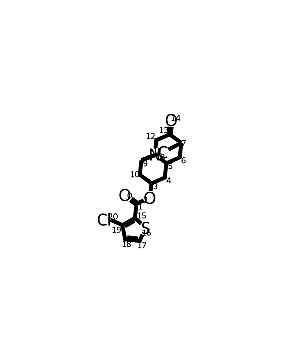 O=C(OC1CC2CC3CC(C1)N2CC3=O)c1sccc1Cl